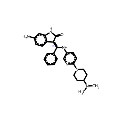 CN(C)C1CCN(c2ccc(N/C(=C3\C(=O)Nc4cc(N)ccc43)c3ccccc3)cn2)CC1